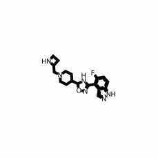 Fc1ccc2[nH]ncc2c1C1=NOC(C2CCN(CC3CCN3)CC2)N1